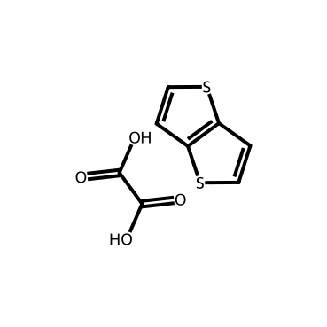 O=C(O)C(=O)O.c1cc2sccc2s1